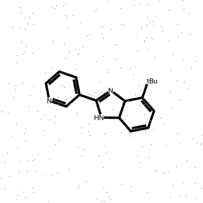 CC(C)(C)C1=CC=CC2NC(c3cccnc3)=NC12